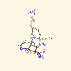 Cl.Cl.NCCOCC1CCCN(c2ccnc3sc(C(N)=O)c(N)c23)C1